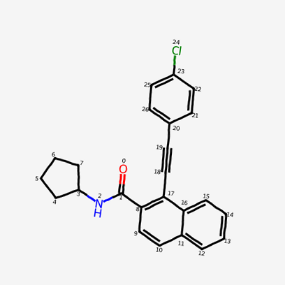 O=C(NC1CCCC1)c1ccc2ccccc2c1C#Cc1ccc(Cl)cc1